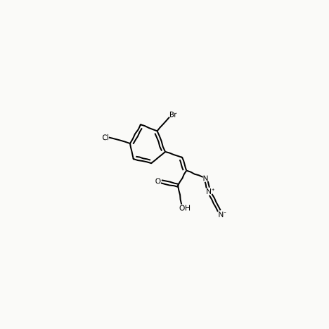 [N-]=[N+]=N/C(=C/c1ccc(Cl)cc1Br)C(=O)O